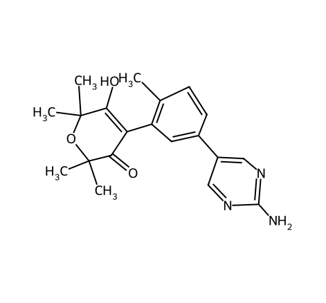 Cc1ccc(-c2cnc(N)nc2)cc1C1=C(O)C(C)(C)OC(C)(C)C1=O